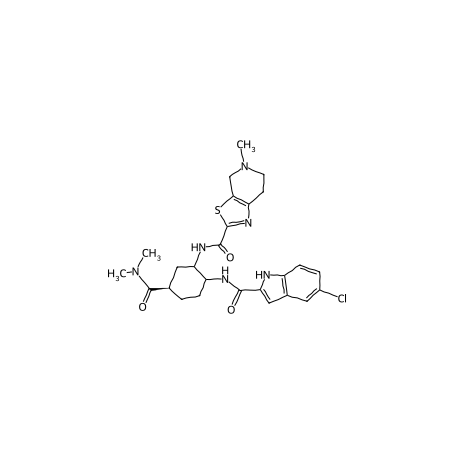 CN1CCc2nc(C(=O)NC3C[C@H](C(=O)N(C)C)CCC3NC(=O)c3cc4cc(Cl)ccc4[nH]3)sc2C1